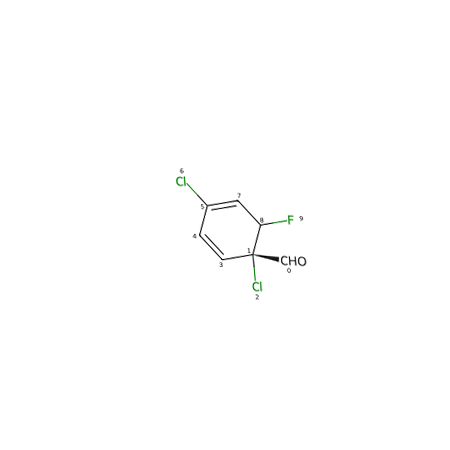 O=C[C@@]1(Cl)C=CC(Cl)=CC1F